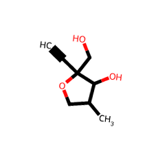 C#CC1(CO)OCC(C)C1O